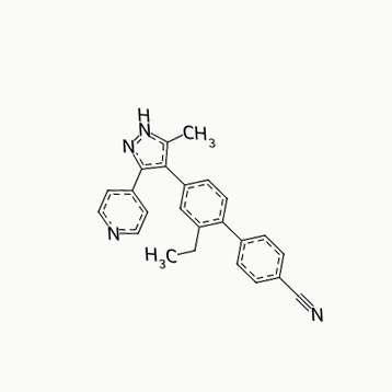 CCc1cc(-c2c(-c3ccncc3)n[nH]c2C)ccc1-c1ccc(C#N)cc1